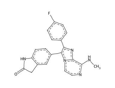 CNc1nccn2c(-c3ccc4c(c3)CC(=O)N4)c(-c3ccc(F)cc3)nc12